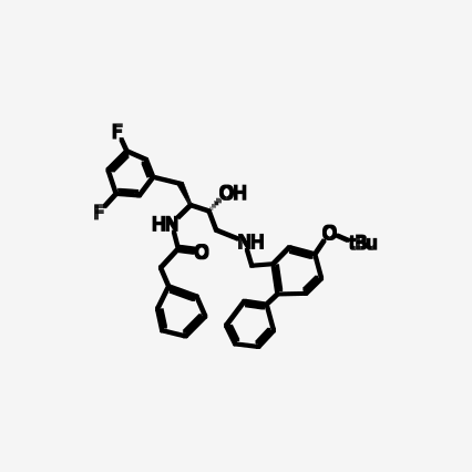 CC(C)(C)Oc1ccc(-c2ccccc2)c(CNC[C@@H](O)[C@H](Cc2cc(F)cc(F)c2)NC(=O)Cc2ccccc2)c1